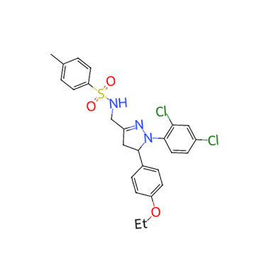 CCOc1ccc(C2CC(CNS(=O)(=O)c3ccc(C)cc3)=NN2c2ccc(Cl)cc2Cl)cc1